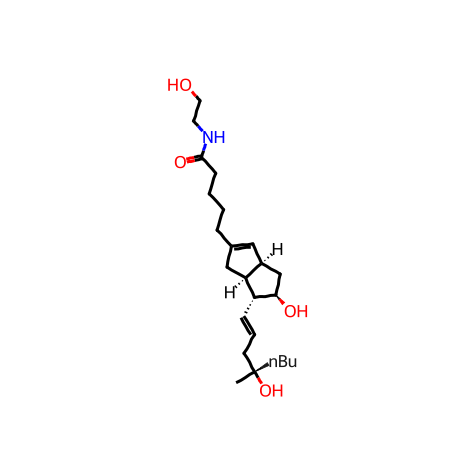 CCCC[C@](C)(O)C/C=C/[C@@H]1[C@H]2CC(CCCCC(=O)NCCO)=C[C@H]2C[C@H]1O